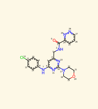 O=C(NCc1cc(Nc2ccc(Cl)cc2)nc(N2CCOCC2)n1)c1cccnn1